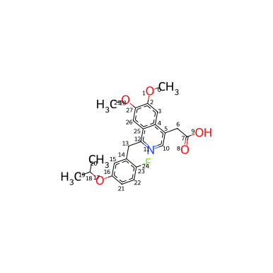 COc1cc2c(CC(=O)O)cnc(Cc3cc(OC(C)C)ccc3F)c2cc1OC